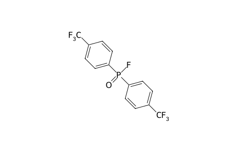 O=P(F)(c1ccc(C(F)(F)F)cc1)c1ccc(C(F)(F)F)cc1